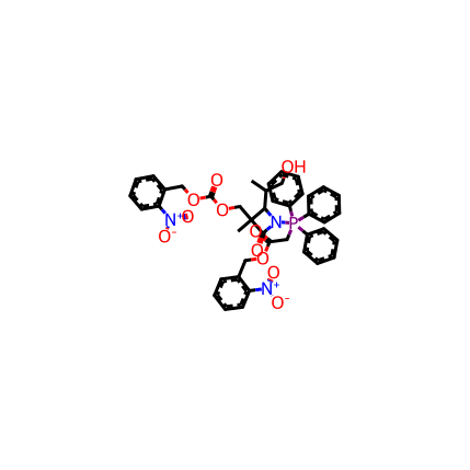 CC(CO)C1N(P(CC(=O)OCc2ccccc2[N+](=O)[O-])(c2ccccc2)(c2ccccc2)c2ccccc2)C(=O)C1(C)COC(=O)OCc1ccccc1[N+](=O)[O-]